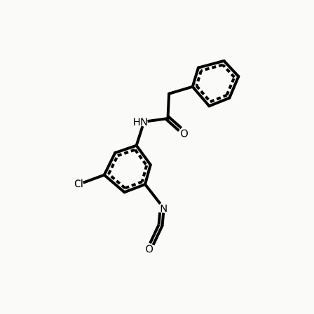 O=C=Nc1cc(Cl)cc(NC(=O)Cc2ccccc2)c1